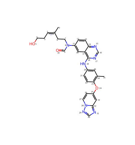 C/C(=C/CCO)CCN(C=O)c1ccc2ncnc(Nc3ccc(Oc4ccn5ncnc5c4)c(C)c3)c2c1